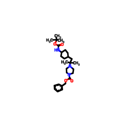 CC(C)(C)OC(=O)NC1CCC(CC(C)(C)N2CCN(C(=O)OCc3ccccc3)CC2)CC1